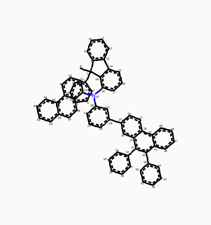 CC1(c2ccccc2)c2ccccc2-c2cccc(N(c3cccc(-c4ccc5c(c4)c(-c4ccccc4)c(-c4ccccc4)c4ccccc45)c3)c3cccc4c3ccc3ccccc34)c21